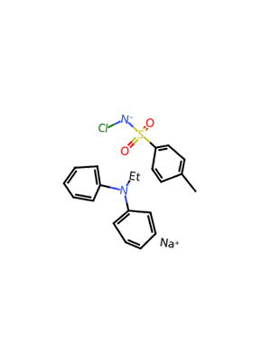 CCN(c1ccccc1)c1ccccc1.Cc1ccc(S(=O)(=O)[N-]Cl)cc1.[Na+]